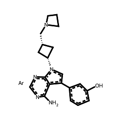 Nc1ncnc2c1c(-c1cccc(O)c1)cn2[C@H]1C[C@@H](CN2CCC2)C1.[Ar]